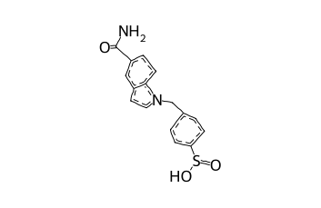 NC(=O)c1ccc2c(ccn2Cc2ccc(S(=O)O)cc2)c1